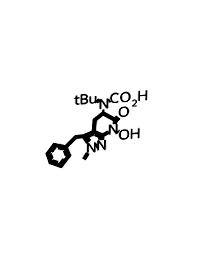 Cn1nc2c(c1Cc1ccccc1)C[C@H](N(C(=O)O)C(C)(C)C)C(=O)N2O